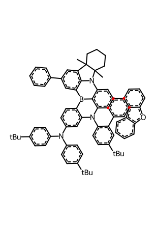 CC(C)(C)c1ccc(N(c2ccc(C(C)(C)C)cc2)c2ccc3c(c2)N(c2ccc(C(C)(C)C)cc2-c2ccccc2)c2cc(-c4cccc5oc6ccccc6c45)cc4c2B3c2cc(-c3ccccc3)cc3c2N4C2(C)CCCCC32C)cc1